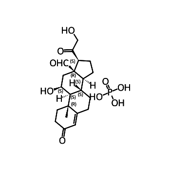 C[C@]12CCC(=O)C=C1CC[C@@H]1[C@@H]2[C@@H](O)C[C@]2(C=O)[C@@H](C(=O)CO)CC[C@@H]12.O=P(O)(O)O